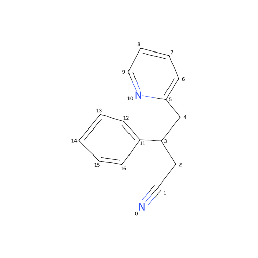 N#CCC(Cc1ccccn1)c1ccccc1